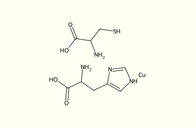 NC(CS)C(=O)O.NC(Cc1c[nH]cn1)C(=O)O.[Cu]